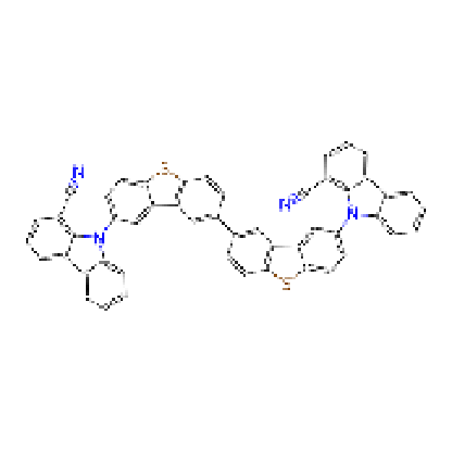 N#Cc1cccc2c3ccccc3n(-c3ccc4sc5ccc(-c6ccc7sc8ccc(-n9c%10ccccc%10c%10cccc(C#N)c%109)cc8c7c6)cc5c4c3)c12